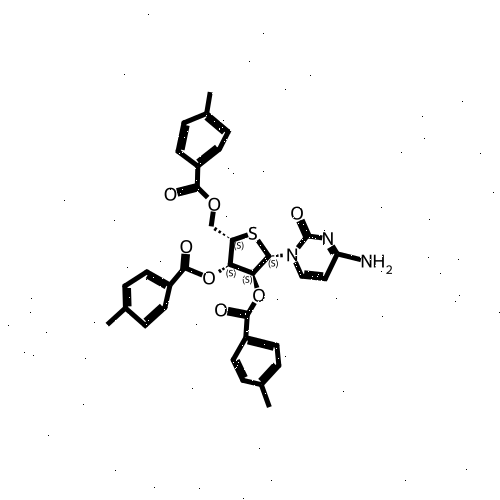 Cc1ccc(C(=O)OC[C@@H]2S[C@H](n3ccc(N)nc3=O)[C@@H](OC(=O)c3ccc(C)cc3)[C@@H]2OC(=O)c2ccc(C)cc2)cc1